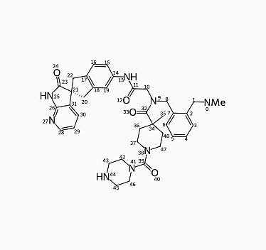 CNCc1ccccc1CN(CC(=O)Nc1ccc2c(c1)C[C@@]1(C2)C(=O)Nc2ncccc21)C(=O)C1(C)CCN(C(=O)N2CCNCC2)CC1